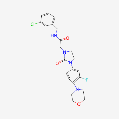 O=C(CN1CCN(c2ccc(N3CCOCC3)c(F)c2)C1=O)NCc1cccc(Cl)c1